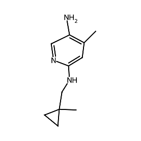 Cc1cc(NCC2(C)CC2)ncc1N